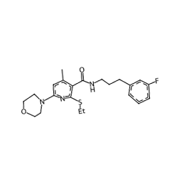 CCSc1nc(N2CCOCC2)cc(C)c1C(=O)NCCCc1cccc(F)c1